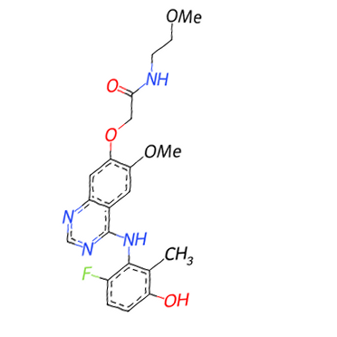 COCCNC(=O)COc1cc2ncnc(Nc3c(F)ccc(O)c3C)c2cc1OC